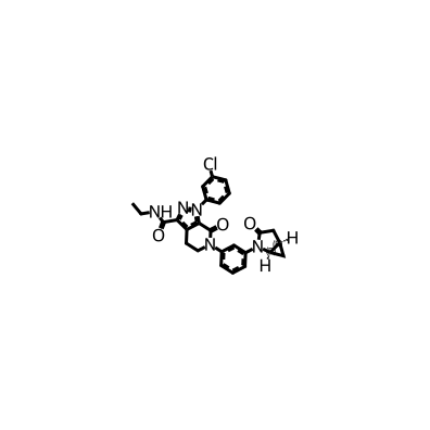 CCNC(=O)c1nn(-c2cccc(Cl)c2)c2c1CCN(c1cccc(N3C(=O)C[C@H]4C[C@H]43)c1)C2=O